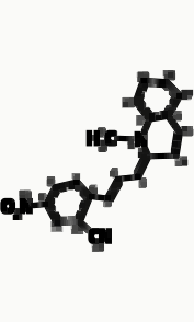 CN1C(=CC=Cc2ccc([N+](=O)[O-])cc2C#N)C=Cc2ccccc21